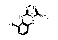 C/N=C(\NC(N)=O)Nc1c(Cl)cccc1Cl